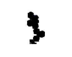 C=C/C(=c1/sc2ccccc2/c1=C/C)n1c2ccccc2c2cc(-c3ccc4c(c3)c3ccccc3n4-c3ccc(C#N)cc3)ccc21